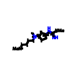 CNCCCCN(C)[C@H]1CC[C@H](NC(=N)NC)C1